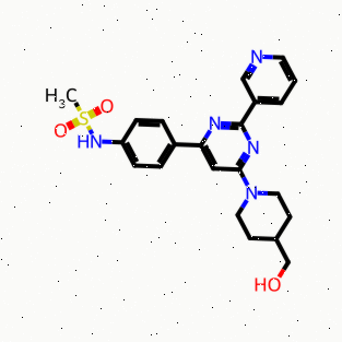 CS(=O)(=O)Nc1ccc(-c2cc(N3CCC(CO)CC3)nc(-c3cccnc3)n2)cc1